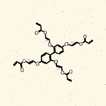 C=CC(=O)O/C=C/Oc1ccc(-c2ccc(O/C=C/OC(=O)C=C)cc2O/C=C/OC(=O)C=C)c(O/C=C/OC(=O)C=C)c1